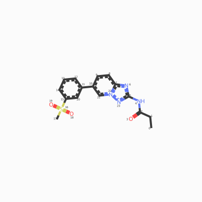 CCC(=O)Nc1nc2ccc(-c3cccc(S(C)(=O)=O)c3)cn2n1